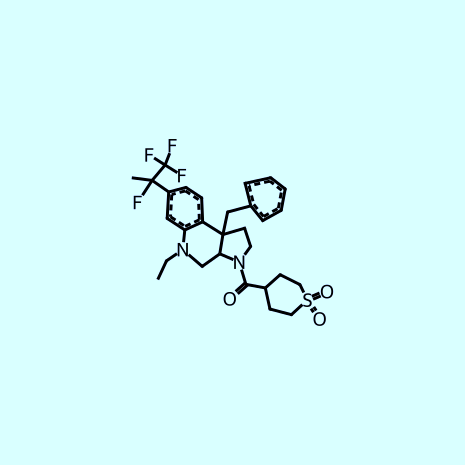 CCN1CC2N(C(=O)C3CCS(=O)(=O)CC3)CCC2(Cc2ccccc2)c2ccc(C(C)(F)C(F)(F)F)cc21